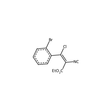 [C-]#[N+]C(C(=O)OCC)=C(Cl)c1ccccc1Br